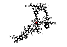 CCCCCC(CC)(SC1CC(=O)N(CCCCCC(=O)N[C@H](C(=O)N[C@@H](CCCNC(N)=O)C(=O)Nc2ccc(COC(=O)N(C)[C@H](C(=O)N[C@H](C(=O)N(C)[C@@H]([C@@H](C)CC)[C@@H](CC(=O)N3CCC[C@H]3[C@H](OC)[C@@H](C)C(=O)N[C@@H](Cc3cccc(C(CCC)CCC)c3)c3nccs3)OC)C(C)C)C(C)C)cc2)C(C)C)C1=O)C1CCCCCC1